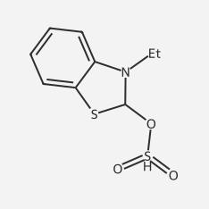 CCN1c2ccccc2SC1O[SH](=O)=O